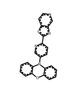 c1ccc2c(c1)Oc1ccccc1N2c1ccc(-c2nc3cnccc3s2)nc1